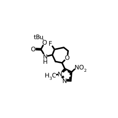 Cn1ncc([N+](=O)[O-])c1C1CC(NC(=O)OC(C)(C)C)C(F)CCO1